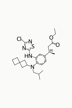 CCOC(=O)C[C@@H](C)c1ccc(N(CC(C)C)C2CC3(CCC3)C2)c(Nc2nc(Cl)ns2)c1